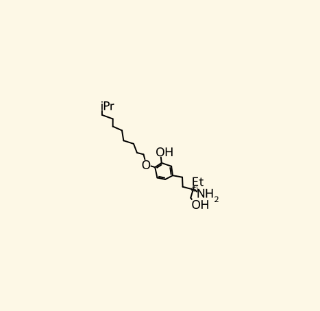 CC[C@@](N)(CO)CCc1ccc(OCCCCCCCCC(C)C)c(O)c1